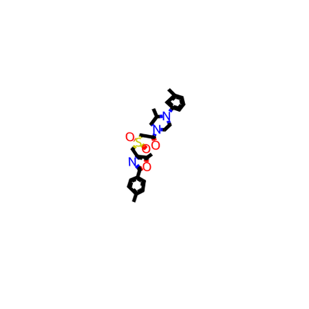 Cc1ccc(-c2nc(CS(=O)(=O)CC(=O)N3CCN(c4cccc(C)c4)C(C)C3)c(C)o2)cc1